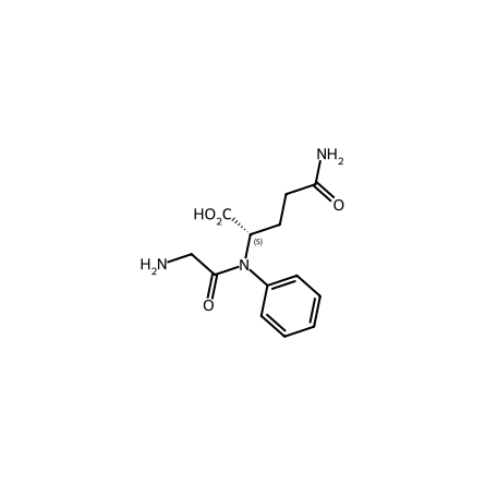 NCC(=O)N(c1ccccc1)[C@@H](CCC(N)=O)C(=O)O